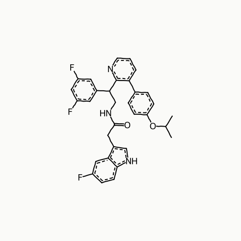 CC(C)Oc1ccc(-c2cccnc2C(CNC(=O)Cc2c[nH]c3ccc(F)cc23)c2cc(F)cc(F)c2)cc1